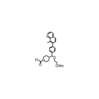 CCC(=O)N1CCC(C(OCCOC)c2ccc(-c3ccc4cccnc4c3C)cc2)CC1